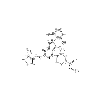 C=CC(=O)N1CCN(c2nc(OC[C@@H]3CCCN3C)nc3nn(-c4c(O)cccc4F)cc23)[C@@H](C)C1